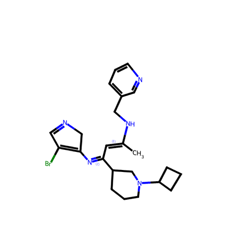 C/C(=C\C(=N/C1=C(Br)C=NC1)C1CCCN(C2CCC2)C1)NCc1cccnc1